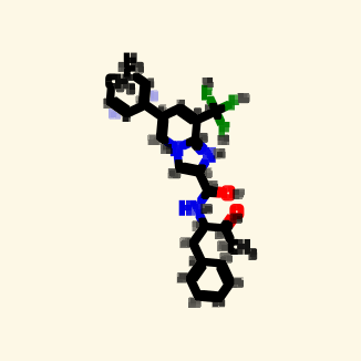 C/C=C\C(=C/C)c1cc(C(F)(F)F)c2nc(C(=O)NC(Cc3ccccc3)C(C)=O)cn2c1